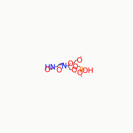 COCC(OCP(O)OC)OC(COC)N(C)/C=C\C(=O)NC=O